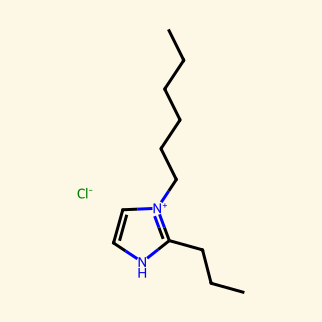 CCCCCC[n+]1cc[nH]c1CCC.[Cl-]